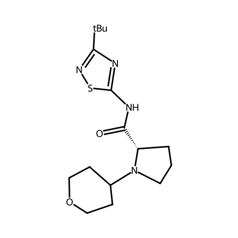 CC(C)(C)c1nsc(NC(=O)[C@@H]2CCCN2C2CCOCC2)n1